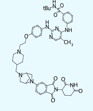 Cc1cnc(Nc2ccc(OCCN3CCC(CN4CC5CC4CN5c4ccc5c(c4)C(=O)N(C4CCC(=O)NC4=O)C5=O)CC3)cc2)nc1Nc1cccc(S(=O)(=O)NC(C)(C)C)c1